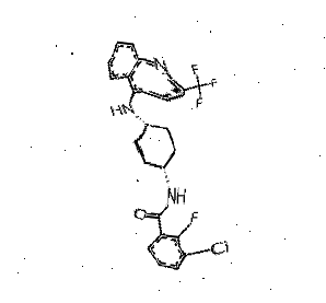 O=C(N[C@H]1CC[C@@H](Nc2cc(C(F)(F)F)nc3ccccc23)CC1)c1cccc(Cl)c1F